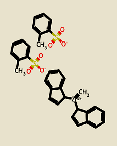 Cc1ccccc1S(=O)(=O)[O-].Cc1ccccc1S(=O)(=O)[O-].[CH2]=[Zr+2]([CH]1C=Cc2ccccc21)[CH]1C=Cc2ccccc21